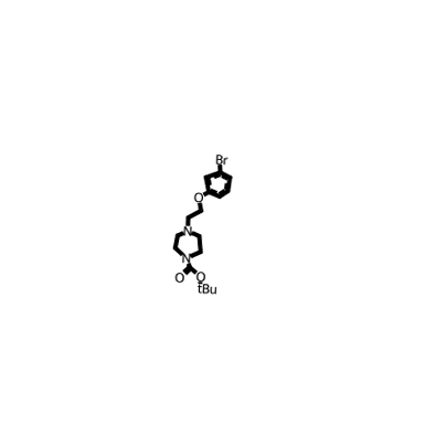 CC(C)(C)OC(=O)N1CCN(CCOc2cccc(Br)c2)CC1